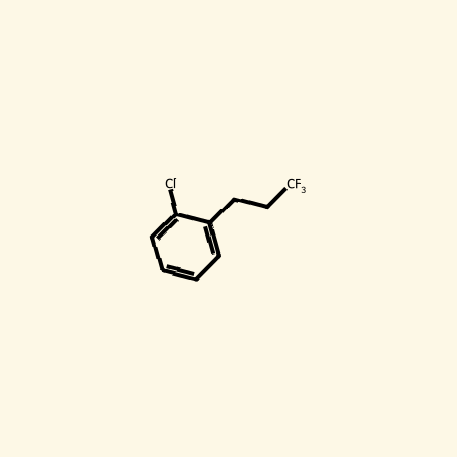 FC(F)(F)CCc1ccccc1Cl